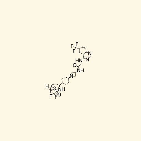 CCC(NS(=O)(=O)C(F)(F)F)[C@H]1CC[C@@H](N2CC(NC(=O)CNc3ncnc4ccc(C(F)(F)F)cc34)C2)CC1